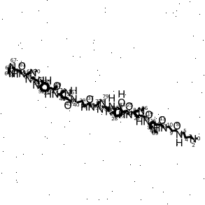 CN(C)CCCNC(=O)CCNC(=O)c1cc(NC(=O)c2cc(NC(=O)c3ccc4nc(-c5nc(NC(=O)CCCNC(=O)c6cc(NC(=O)c7ccc8nc(-c9nc(NC(=O)c%10nccn%10C)cn9C)[nH]c8c7)cn6C)cn5C)[nH]c4c3O)cn2C)cn1C